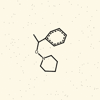 CC(ON1CCCCC1)c1ccccc1